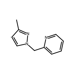 Cc1[c]cn(Cc2ccccn2)n1